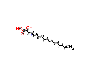 C=CCCCCCCCCCCC/C=C/CC(O)C(=O)O